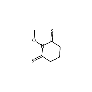 CON1C(=S)CCCC1=S